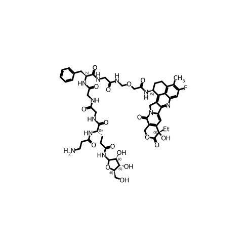 CC[C@@]1(O)C(=O)OCc2c1cc1n(c2=O)Cc2c-1nc1cc(F)c(C)c3c1c2[C@@H](NC(=O)COCNC(=O)CNC(=O)[C@H](Cc1ccccc1)NC(=O)CNC(=O)CNC(=O)[C@H](CCC(=O)NC1O[C@H](CO)[C@@H](O)[C@H]1O)NC(=O)CCN)CC3